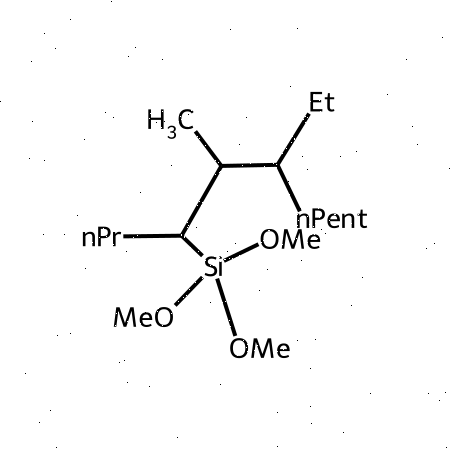 CCCCCC(CC)C(C)C(CCC)[Si](OC)(OC)OC